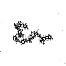 Cc1ccc(Cc2cc3c([nH]c2=O)C(C)(C)CN3C(=O)CN2C[C@@H](C)NC[C@@H]2CN2CCO[C@H](C(=O)NCc3ccc(CNC(=O)[C@@H]4CN(C[C@H]5CN[C@H](C)CN5CC(=O)N5CC(C)(C)c6[nH]c(=O)c(Cc7ccc(C)cc7)cc65)CCO4)cc3)C2)cc1